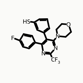 Fc1ccc(-c2nc(C(F)(F)F)nc(N3CCOCC3)c2-c2cccc(S)c2)cc1